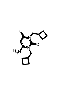 Nc1cc(=O)n(CC2CCC2)c(=O)n1CC1CCC1